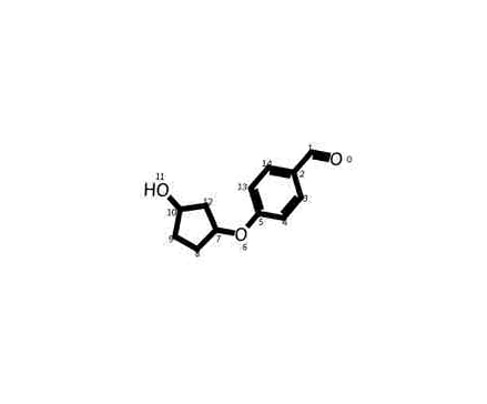 O=Cc1ccc(OC2CCC(O)C2)cc1